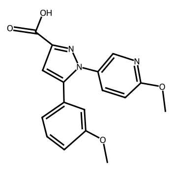 COc1cccc(-c2cc(C(=O)O)nn2-c2ccc(OC)nc2)c1